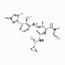 COc1c(Nc2cc(NC(=O)C3CC3)nc(NN(C)C=O)c2C)cccc1-c1nn(C)cc1C